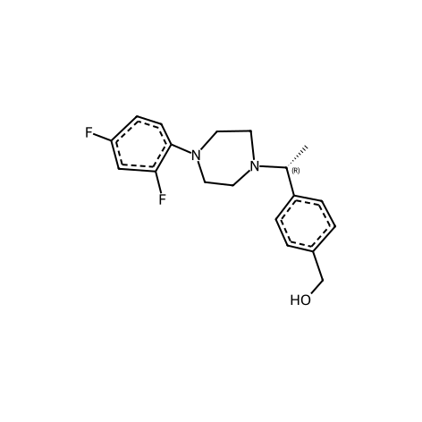 C[C@H](c1ccc(CO)cc1)N1CCN(c2ccc(F)cc2F)CC1